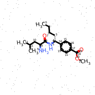 CCCC[C@@H](NC(=O)C(N)CC(C)C)c1ccc(C(=O)OC)cc1